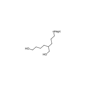 CCCCCCCCCCC(CO)CCCCO